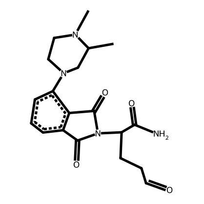 CC1CN(c2cccc3c2C(=O)N(C(CCC=O)C(N)=O)C3=O)CCN1C